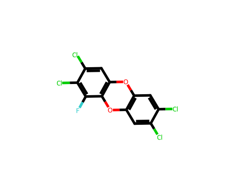 Fc1c(Cl)c(Cl)cc2c1Oc1cc(Cl)c(Cl)cc1O2